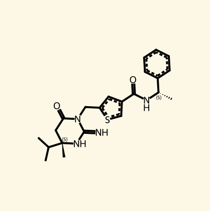 CC(C)[C@]1(C)CC(=O)N(Cc2cc(C(=O)N[C@@H](C)c3ccccc3)cs2)C(=N)N1